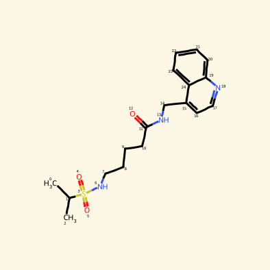 CC(C)S(=O)(=O)NCCCCC(=O)NCc1ccnc2ccccc12